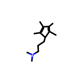 CC1=C(C)C(CCCN(C)C)C(C)=C1C